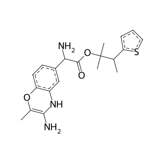 CC1=C(N)Nc2cc(C(N)C(=O)OC(C)(C)C(C)c3cccs3)ccc2O1